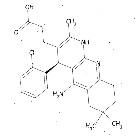 CC1=C(CCC(=O)O)[C@H](c2ccccc2Cl)c2c(nc3c(c2N)CC(C)(C)CC3)N1